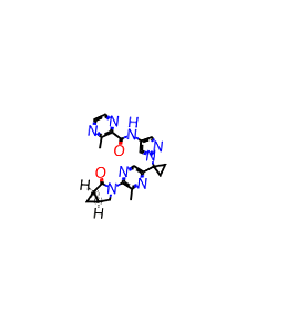 Cc1nccnc1C(=O)Nc1cnn(C2(c3cnc(N4C[C@H]5C[C@H]5C4=O)c(C)n3)CC2)c1